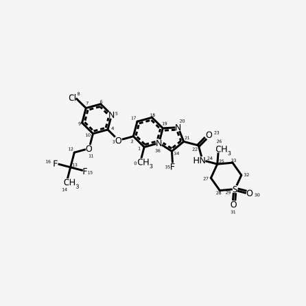 Cc1c(Oc2ncc(Cl)cc2OCC(C)(F)F)ccc2nc(C(=O)NC3(C)CCS(=O)(=O)CC3)c(F)n12